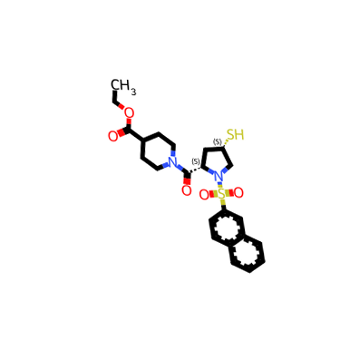 CCOC(=O)C1CCN(C(=O)[C@@H]2C[C@H](S)CN2S(=O)(=O)c2ccc3ccccc3c2)CC1